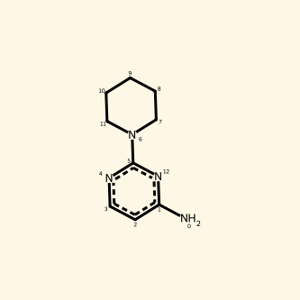 Nc1ccnc(N2CCCCC2)n1